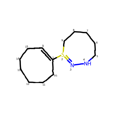 C1=C(S2=NNCCCCC2)CCCCCC1